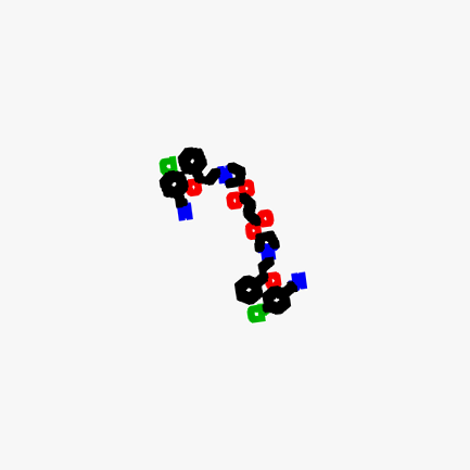 N#Cc1ccc(Cl)cc1O[C@H](CCN1CC[C@@H](OC(=O)/C=C/C(=O)O[C@@H]2CCN(CC[C@@H](Oc3cc(Cl)ccc3C#N)c3ccccc3)C2)C1)c1ccccc1